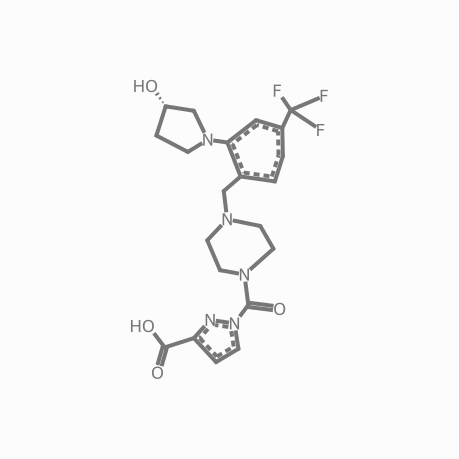 O=C(O)c1ccn(C(=O)N2CCN(Cc3ccc(C(F)(F)F)cc3N3CC[C@H](O)C3)CC2)n1